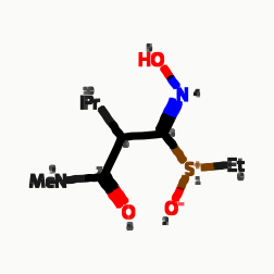 CC[S+]([O-])C(=NO)C(C(=O)NC)C(C)C